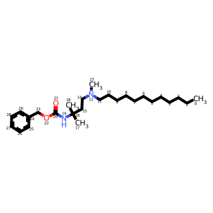 CCCCCCCCCCCCN(C)CCC(C)(C)NC(=O)OCc1ccccc1